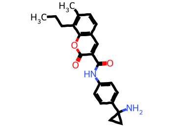 CCCc1c(C)ccc2cc(C(=O)Nc3ccc(C4(N)CC4)cc3)c(=O)oc12